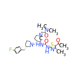 CC(=O)c1sc(NC(=O)N[C@@H]2CN(CC(=O)N(C)C)CC[C@H]2CN2CCC[C@@H](Cc3ccc(F)cc3)C2)nc1C